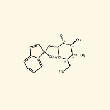 O=C(O)C1(OC2O[C@H](CO)[C@@H](O)[C@H](O)[C@H]2O)C=Nc2ccccc21